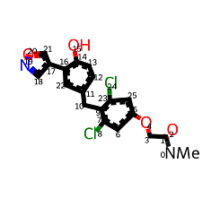 CNC(=O)COc1cc(Cl)c(Cc2ccc(O)c(-c3cnoc3)c2)c(Cl)c1